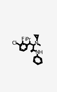 C=C(Nc1ccccc1)C(C(c1cccc(Cl)c1F)C(C)C)N(C)C1CC1